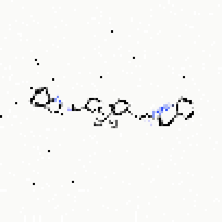 CCC1(CC)c2cc(/C=C/C3=CC=C4C=CC=CC4N3)ccc2-c2ccc(/C=C/c3ccc4ccccc4n3)cc21